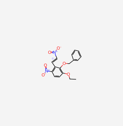 CCOc1ccc([N+](=O)[O-])c(/C=C/[N+](=O)[O-])c1OCc1ccccc1